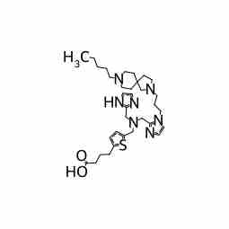 CCCCCN1CCC2(CC1)CCN(CCCn1ccnc1CN(Cc1ncc[nH]1)Cc1ccc(CCCC(=O)O)s1)C2